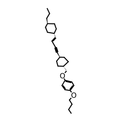 CCCCOc1ccc(OC[C@H]2CC[C@H](C#CC=C[C@H]3CC[C@H](CCC)CC3)CC2)cc1